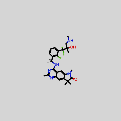 CNCC(C)(O)C(F)(F)c1cccc([C@@H](C)Nc2nc(C)nc3cc4c(cc23)N(C)C(=O)C4(C)C)c1F